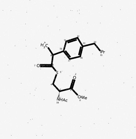 COC(=O)[C@@H](CSC(=O)C(C)c1ccc(CC(C)C)cc1)NC(C)=O